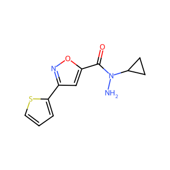 NN(C(=O)c1cc(-c2cccs2)no1)C1CC1